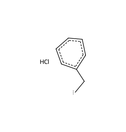 Cl.[C]Cc1ccccc1